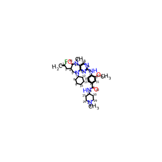 C=C(F)CC1CN(C2CCCCC2)c2nc(Nc3ccc(C(=O)NC4CCN(C)CC4)cc3OC)ncc2N(C)C1=O